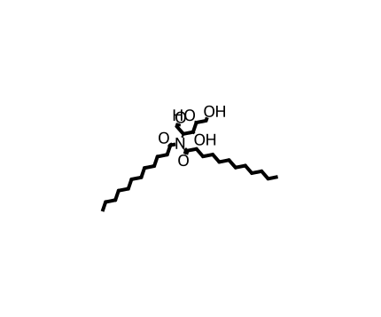 CCCCCCCCCCCC(=O)N(C(=O)CCCCCCCCCCC)[C@@H](C=O)[C@H](O)[C@H](O)CO